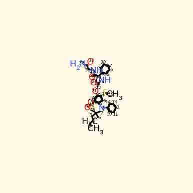 CCCCC1(CC)CN(c2ccccc2)c2cc(SC)c(OCC(=O)N[C@@H](C(=O)NCC(N)=O)c3ccccc3)cc2S(=O)(=O)C1